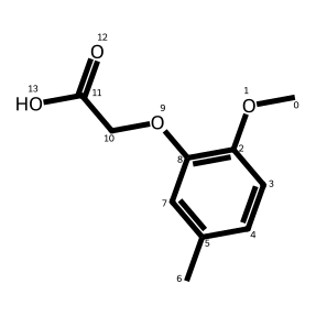 COc1ccc(C)cc1OCC(=O)O